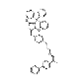 CC(=NOCCOc1ccc(CC2SC(=O)N(C(c3ccccc3)(c3ccccc3)c3ccccc3)C2=O)cc1)c1ccc(-c2ccccn2)cc1